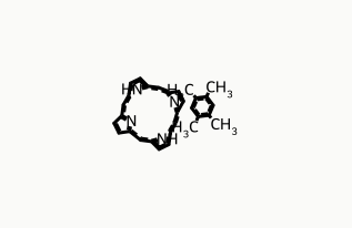 C1=Cc2cc3ccc(cc4nc(cc5ccc(cc1n2)[nH]5)C=C4)[nH]3.Cc1cc(C)c(C)cc1C